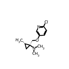 C[C@H]1C[C@]1(COc1ccc(Cl)nc1)N(C)C